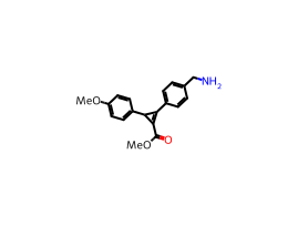 COC(=O)C1=C(c2ccc(CN)cc2)C1c1ccc(OC)cc1